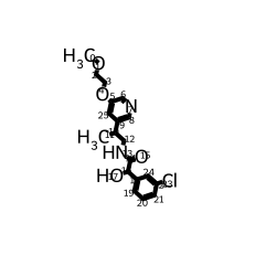 COCCOc1cncc(C(C)CNC(=O)C(O)c2cccc(Cl)c2)c1